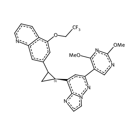 COc1ncc(-c2cc([C@H]3CC3c3cc(OCC(F)(F)F)c4cccnc4c3)c3nccn3n2)c(OC)n1